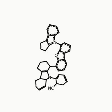 N#CC1CC=CC=C1N1C2=C(CCCC2c2cccc3c2oc2c(-n4c5c(c6ccccc64)CCC5)cccc23)C2CCC=CC21